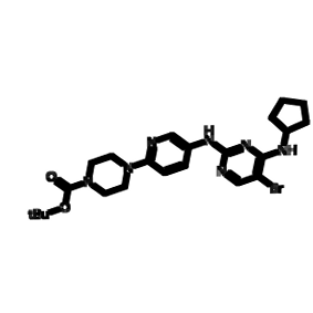 CC(C)(C)OC(=O)N1CCN(c2ccc(Nc3ncc(Br)c(NC4CCCC4)n3)cn2)CC1